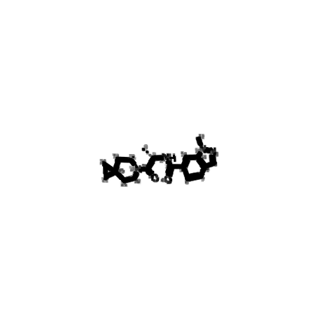 C[C@H](NC(=O)c1ccc2cnn(C)c2c1)C(=O)N1CCC2(CC1)CC2